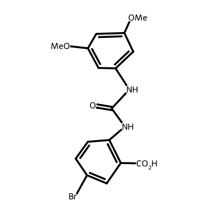 COc1cc(NC(=O)Nc2ccc(Br)cc2C(=O)O)cc(OC)c1